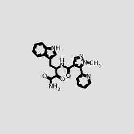 Cn1ncc(C(=O)NC(Cc2c[nH]c3ccccc23)C(=O)C(N)=O)c1-c1ccccn1